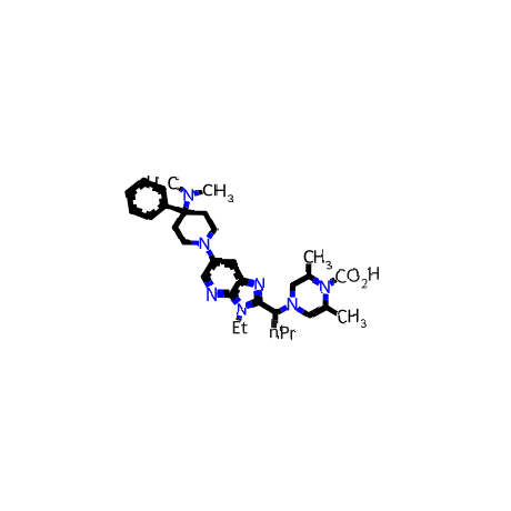 CCCC(c1nc2cc(N3CCC(c4ccccc4)(N(C)C)CC3)cnc2n1CC)N1CC(C)N(C(=O)O)C(C)C1